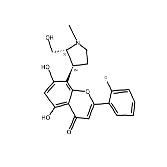 CN1CC[C@@H](c2c(O)cc(O)c3c(=O)cc(-c4ccccc4F)oc23)[C@@H]1CO